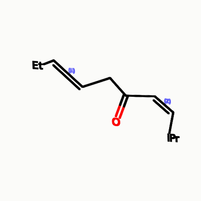 CC/C=C/CC(=O)/C=C\C(C)C